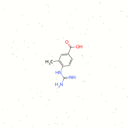 Cc1cc(C(=O)O)ccc1NC(=N)N